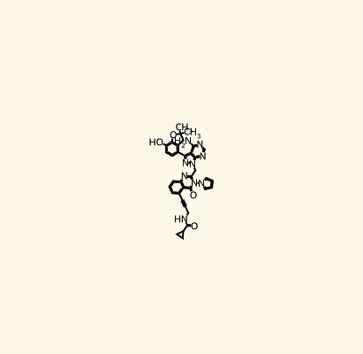 CC1(C)Cc2c(-c3nn(Cc4nc5cccc(C#CCNC(=O)C6CC6)c5c(=O)n4-n4cccc4)c4ncnc(N)c34)ccc(O)c2O1